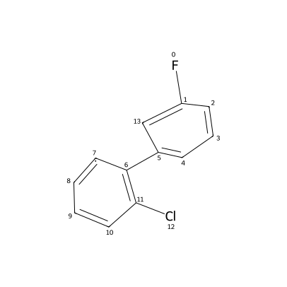 Fc1cccc(-c2[c]cccc2Cl)c1